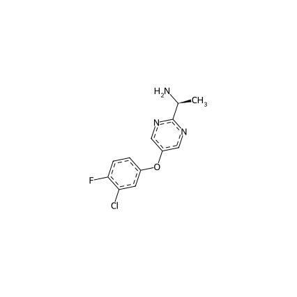 C[C@H](N)c1ncc(Oc2ccc(F)c(Cl)c2)cn1